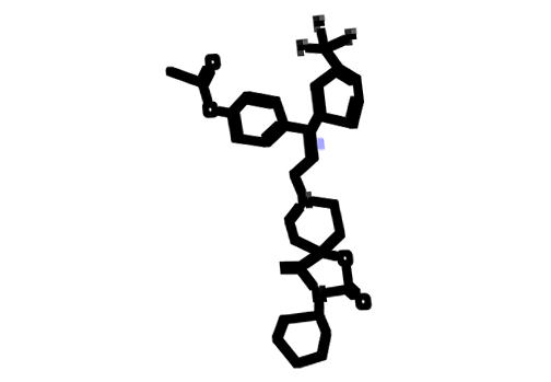 C=C1N(C2CCCCC2)C(=O)OC12CCN(C/C=C(\c1ccc(OC(C)=O)cc1)c1cccc(C(F)(F)F)c1)CC2